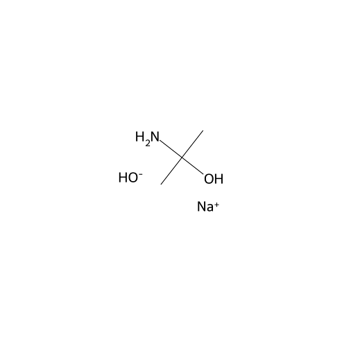 CC(C)(N)O.[Na+].[OH-]